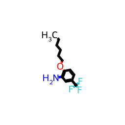 CCCCCCOc1ccc(C(F)(F)F)cc1N